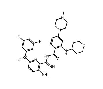 CN1CCN(c2ccc(C(=O)NC(=N)c3nc([S+]([O-])c4cc(F)cc(F)c4)ccc3N)c(NC3CCOCC3)c2)CC1